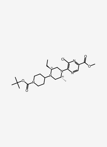 CC[C@H]1CN(c2ncc(C(=O)OC)nc2Cl)[C@H](C)CN1C1CCN(C(=O)OC(C)(C)C)CC1